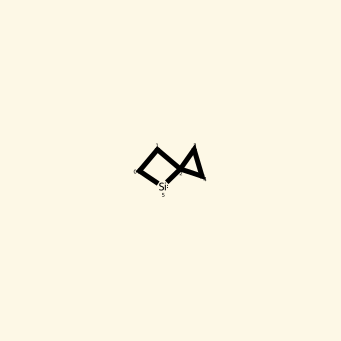 C1CC2(CC2)[Si]1